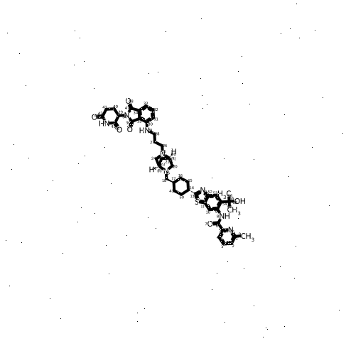 Cc1cccc(C(=O)Nc2cc3sc([C@H]4CC[C@H](CN5C[C@H]6C[C@@H]5CN6CCCNc5cccc6c5C(=O)N(C5CCC(=O)NC5=O)C6=O)CC4)nc3cc2C(C)(C)O)n1